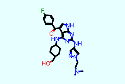 CN(C)CCn1cc(Nc2nc(NC3CCC(CO)CC3)c3c(C(=O)c4ccc(F)cc4)c[nH]c3n2)cn1